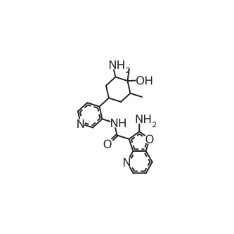 CC1CC(c2ccncc2NC(=O)c2c(N)oc3cccnc23)CC(N)C1(C)O